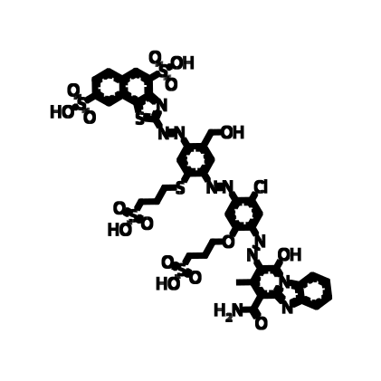 Cc1c(N=Nc2cc(Cl)c(N=Nc3cc(CO)c(N=Nc4nc5c(S(=O)(=O)O)cc6ccc(S(=O)(=O)O)cc6c5s4)cc3SCCCS(=O)(=O)O)cc2OCCCS(=O)(=O)O)c(O)n2c(nc3ccccc32)c1C(N)=O